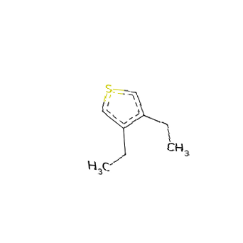 CCc1cscc1CC